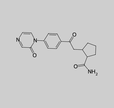 NC(=O)C1CCCC1CC(=O)c1ccc(-n2ccncc2=O)cc1